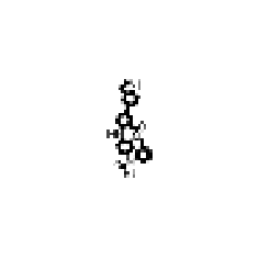 CCC(=O)Nc1ccc2c(c1)N(Cc1ccccc1)C(=O)c1cc(-c3ccc4[nH]ccc4c3)ccc1N2